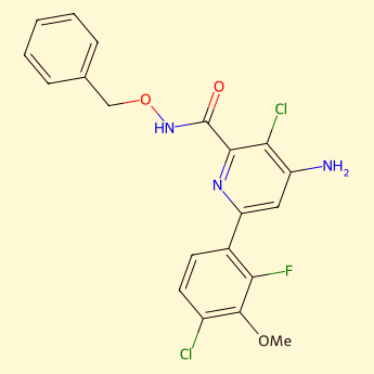 COc1c(Cl)ccc(-c2cc(N)c(Cl)c(C(=O)NOCc3ccccc3)n2)c1F